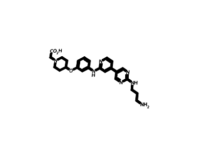 NCCCNc1ncc(-c2ccnc(Nc3cccc(OC4CCN(CC(=O)O)CC4)c3)c2)cn1